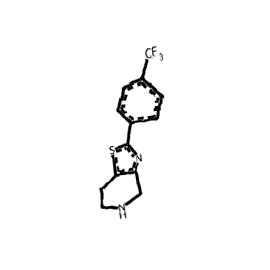 FC(F)(F)c1ccc(-c2nc3c(s2)CCNC3)cc1